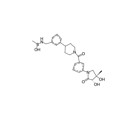 CB(O)NCc1cccc(C2CCN(C(=O)c3cccc(N4C[C@](C)(O)[C@H](O)C4=O)c3)CC2)c1